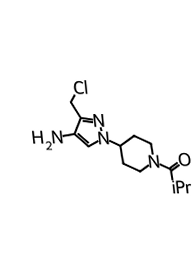 CC(C)C(=O)N1CCC(n2cc(N)c(CCl)n2)CC1